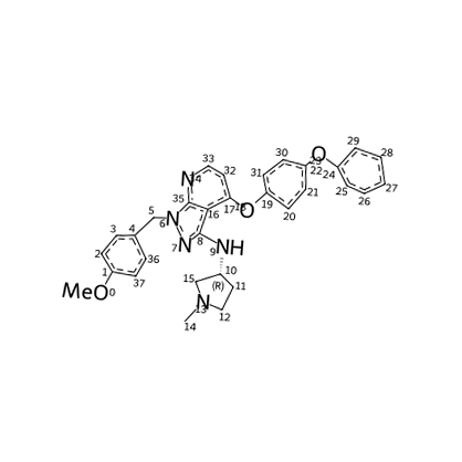 COc1ccc(Cn2nc(N[C@@H]3CCN(C)C3)c3c(Oc4ccc(Oc5ccccc5)cc4)ccnc32)cc1